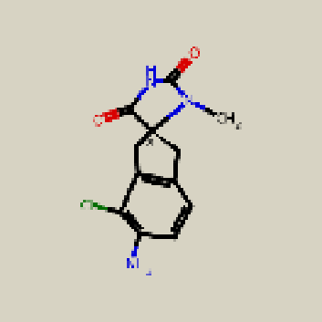 CN1C(=O)NC(=O)[C@]12Cc1ccc(N)c(Cl)c1C2